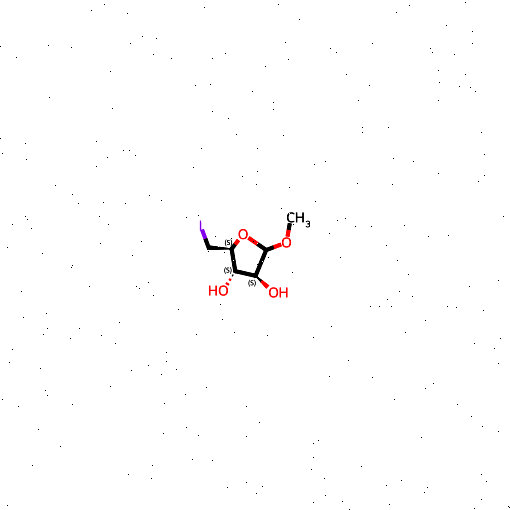 COC1O[C@H](CI)[C@@H](O)[C@@H]1O